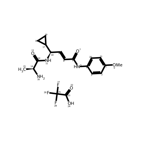 COc1ccc(NC(=O)/C=C/[C@@H](NC(=O)[C@H](C)N)C2CC2)cc1.O=C(O)C(F)(F)F